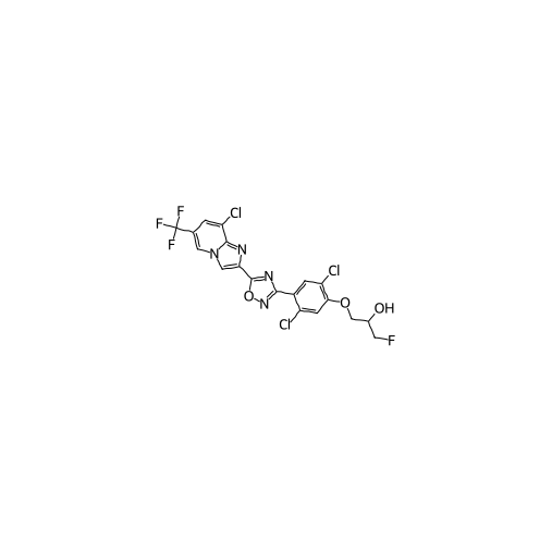 OC(CF)COc1cc(Cl)c(-c2noc(-c3cn4cc(C(F)(F)F)cc(Cl)c4n3)n2)cc1Cl